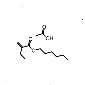 C=C(CC)C(=O)OCCCCCC.CC(=O)O